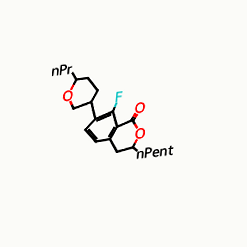 CCCCCC1Cc2ccc(C3CCC(CCC)OC3)c(F)c2C(=O)O1